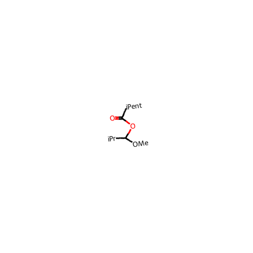 CCCC(C)C(=O)OC(OC)C(C)C